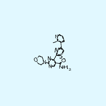 Cc1ncccc1-c1csc(-c2nc(N3CCOCC3)ncc2C(N)=O)n1